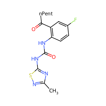 CCCCCC(=O)c1cc(F)ccc1NC(=O)Nc1nc(C)ns1